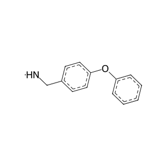 [NH]Cc1ccc(Oc2ccccc2)cc1